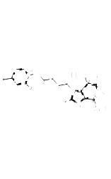 CCCc1nc2c(N)nc(C)c(C)c2n1CCCCSc1ccc(Cl)cc1Cl